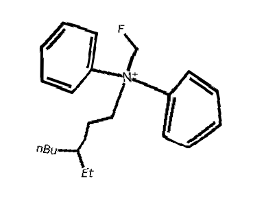 CCCCC(CC)CC[N+](CF)(c1ccccc1)c1ccccc1